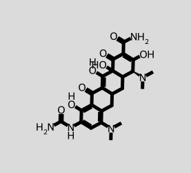 CN(C)c1cc(NC(N)=O)c(O)c2c1CC1CC3[C@H](N(C)C)C(O)=C(C(N)=O)C(=O)C3(O)C(O)=C1C2=O